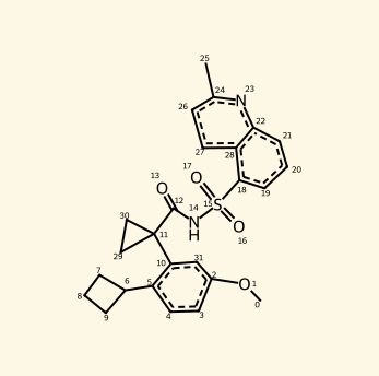 COc1ccc(C2CCC2)c(C2(C(=O)NS(=O)(=O)c3cccc4nc(C)ccc34)CC2)c1